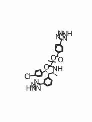 C[C@H](NC(=O)C(C)(C)OC(=O)c1ccc(-c2nn[nH]n2)cc1)[C@@H](Cc1ccc(Cl)cc1)c1cccc(-c2nn[nH]n2)c1